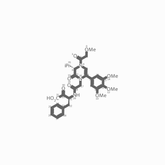 COCC(=O)N1C=C(c2cc(OC)c(OC)c(OC)c2)N(CC(=O)N[C@@H](Cc2ccccc2)C(=O)C(=O)O)C(=O)[C@@H]1C(C)C